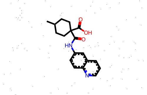 CC1CCC(C(=O)O)(C(=O)Nc2ccc3ncccc3c2)CC1